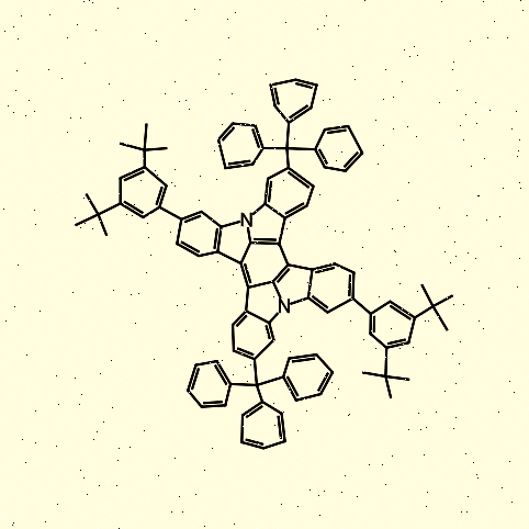 CC(C)(C)c1cc(-c2ccc3c4c5c6ccc(C(c7ccccc7)(c7ccccc7)c7ccccc7)cc6n6c7cc(-c8cc(C(C)(C)C)cc(C(C)(C)C)c8)ccc7c(c7c8ccc(C(c9ccccc9)(c9ccccc9)c9ccccc9)cc8n(c3c2)c47)c56)cc(C(C)(C)C)c1